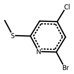 CSc1cc(Cl)cc(Br)n1